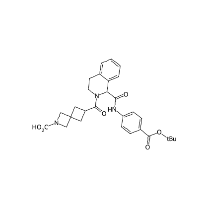 CC(C)(C)OC(=O)c1ccc(NC(=O)C2c3ccccc3CCN2C(=O)C2CC3(C2)CN(C(=O)O)C3)cc1